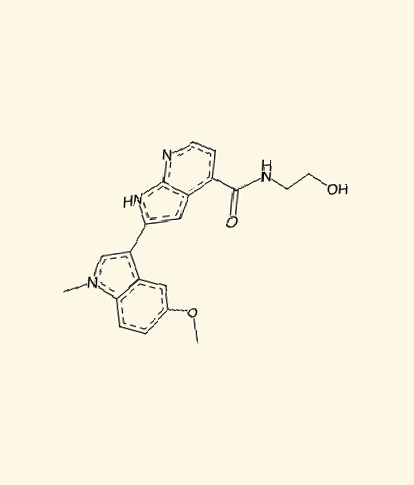 COc1ccc2c(c1)c(-c1cc3c(C(=O)NCCO)ccnc3[nH]1)cn2C